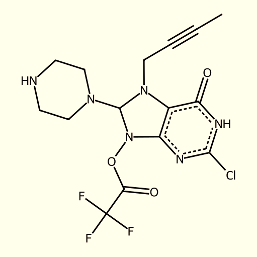 CC#CCN1c2c(nc(Cl)[nH]c2=O)N(OC(=O)C(F)(F)F)C1N1CCNCC1